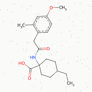 CCC1CCC(NC(=O)Cc2ccc(OC)cc2C)(C(=O)O)CC1